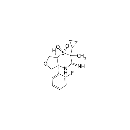 CC1(C2CC2)C(=N)N[C@@]2(c3ccccc3F)COC[C@H]2S1(=O)=O